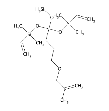 C=C[Si](C)(C)OC(CCCOCC(=C)C)(O[SiH3])O[Si](C)(C)C=C